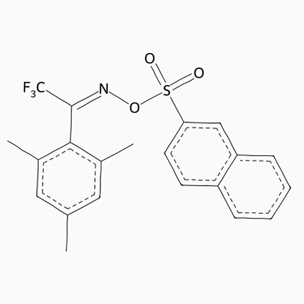 Cc1cc(C)c(C(=NOS(=O)(=O)c2ccc3ccccc3c2)C(F)(F)F)c(C)c1